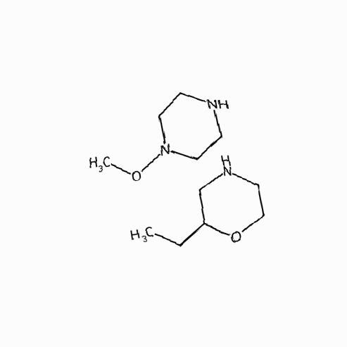 CCC1CNCCO1.CON1CCNCC1